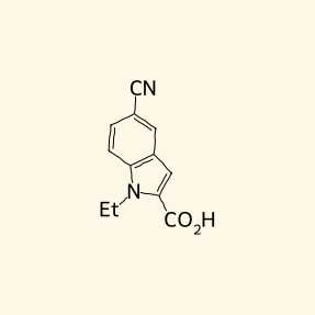 CCn1c(C(=O)O)cc2cc(C#N)ccc21